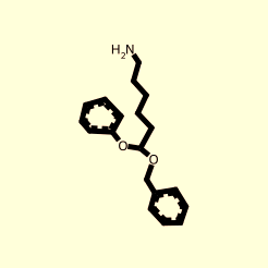 NCCCCCC(OCc1ccccc1)Oc1ccccc1